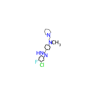 CN(CCN1CCCCC1)c1ccc(-c2nc3cc(Cl)c(F)cc3[nH]2)cc1